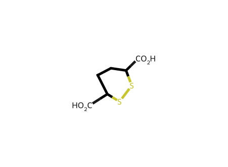 O=C(O)C1CCC(C(=O)O)SS1